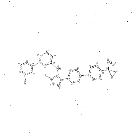 Cc1noc(-c2ccc(-c3ccc(C4(C(=O)O)CC4)cc3)cc2)c1Nc1cncc(-c2cccc(F)c2)c1